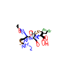 Nc1nc(/C(=N\OC2CC2)C(=O)N[C@@H]2C(=O)N3C(C(=O)O)=C(C=C(Br)Br)CS[C@H]23)cs1